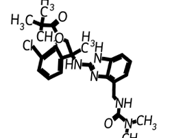 CN(C)C(=O)NCc1cccc2[nH]c(NC(C)(COC(=O)C(C)(C)C)c3cccc(Cl)c3)nc12